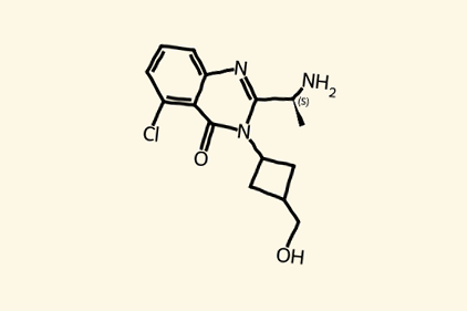 C[C@H](N)c1nc2cccc(Cl)c2c(=O)n1C1CC(CO)C1